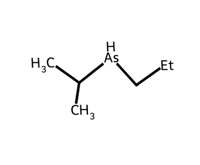 CCC[AsH]C(C)C